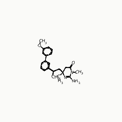 COc1cccc(-c2cccc(C(C)C[C@]3(C)CC(=O)N(C)C(N)=N3)c2)c1